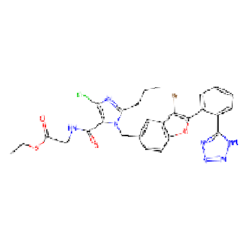 CCCc1nc(Cl)c(C(=O)NCC(=O)OCC)n1Cc1ccc2oc(-c3ccccc3-c3nnn[nH]3)c(Br)c2c1